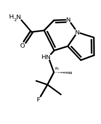 C[C@@H](Nc1c(C(N)=O)cnn2cccc12)C(C)(C)F